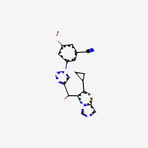 COc1cc(C#N)cc(-n2cc(C(O)c3c(C4CC4)sc4cncn34)nn2)c1